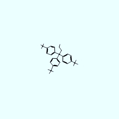 [CH2]CCC(c1ccc(C(C)(C)C)cc1)(c1ccc(C(C)(C)C)cc1)c1ccc(C(C)(C)C)cc1